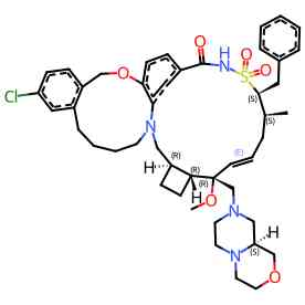 CO[C@@]1(CN2CCN3CCOC[C@@H]3C2)/C=C/C[C@H](C)[C@H](Cc2ccccc2)S(=O)(=O)NC(=O)c2ccc3c(c2)N(CCCCc2cc(Cl)ccc2CO3)C[C@@H]2CC[C@H]21